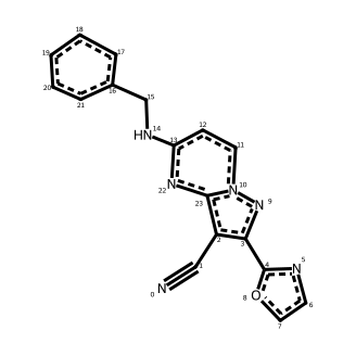 N#Cc1c(-c2ncco2)nn2ccc(NCc3ccccc3)nc12